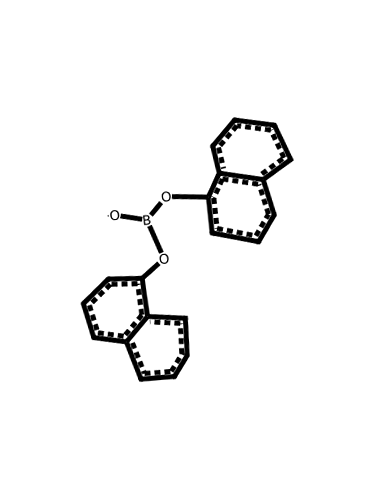 [O]B(Oc1cccc2ccccc12)Oc1cccc2ccccc12